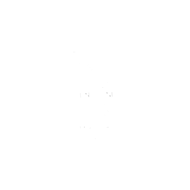 COC(=O)c1cc2c(cc1F)NC(=O)C(c1ccc(F)cc1)N2